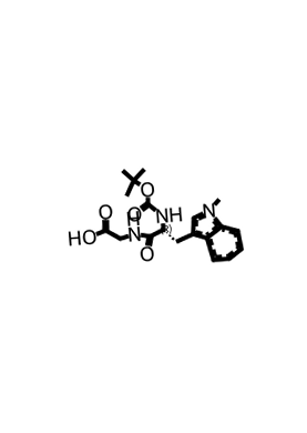 Cn1cc(C[C@@H](NC(=O)OC(C)(C)C)C(=O)NCC(=O)O)c2ccccc21